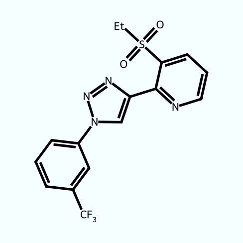 CCS(=O)(=O)c1cccnc1-c1cn(-c2cccc(C(F)(F)F)c2)nn1